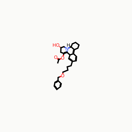 CC(=O)OC1=C2C3C=C(CCCCOCc4ccccc4)C=CC3=C3CCCC[C@@H]3N2C[C@H](O)C1